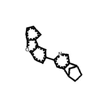 c1ccc2c(c1)oc1ccc(-c3cc4c(cn3)C3CCC4C3)cc12